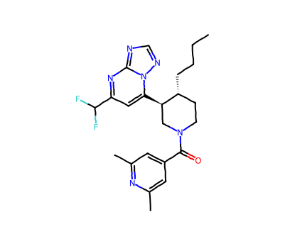 CCCC[C@@H]1CCN(C(=O)c2cc(C)nc(C)c2)C[C@H]1c1cc(C(F)F)nc2ncnn12